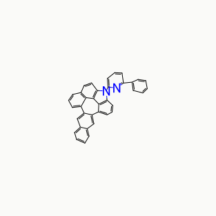 c1ccc(-c2cccc(-n3c4cccc5c4c4c6c(cccc6ccc43)-c3cc4ccccc4cc3-5)n2)cc1